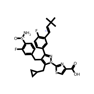 CC(C)(C)/C=C/c1cc(-c2nn(-c3nc(C(=O)O)cs3)c(CC3CC3)c2Cc2ccc([S+](N)[O-])c(F)c2)ccc1F